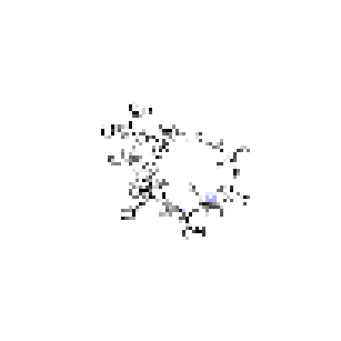 CC1=C\[C@H](C)C[C@H](C)CCC[C@H]2C=C(C(=O)O)[C@@H](C)C[C@]23OC(=O)\C(=C\1O)C3=O